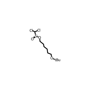 CC(C)(C)OCCCCCCO[Si](=O)C(Cl)Cl